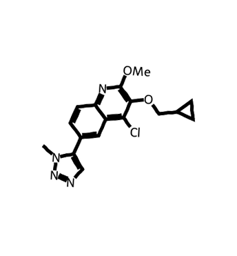 COc1nc2ccc(-c3cnnn3C)cc2c(Cl)c1OCC1CC1